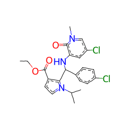 CCOC(=O)c1ccn(C(C)C)c1C(Nc1cc(Cl)cn(C)c1=O)c1ccc(Cl)cc1